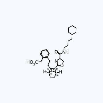 O=C(O)Cc1ccccc1CC[C@H]1[C@@H](C2=NC(C(=O)NCCCCC3CCCCC3)CO2)[C@@H]2CC[C@H]1O2